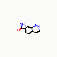 NC(=O)c1ccc2ccnnc2c1